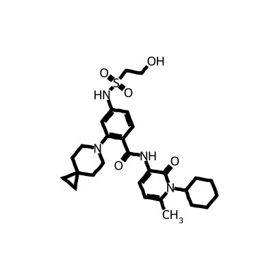 Cc1ccc(NC(=O)c2ccc(NS(=O)(=O)CCO)cc2N2CCC3(CC2)CC3)c(=O)n1C1CCCCC1